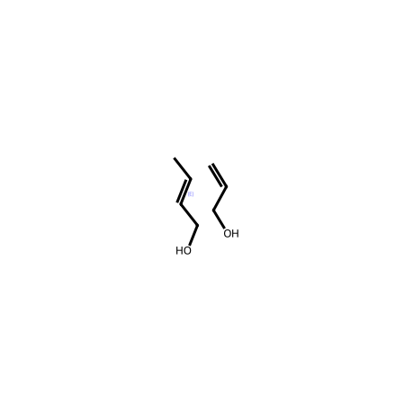 C/C=C/CO.C=CCO